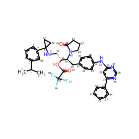 CC(C)c1cccc(C2(NC[C@@H](OC(=O)C(F)(F)F)[C@H](Cc3ccc(Nc4cc(-c5ccccc5)ncn4)cc3)N3CCCC3=O)CC2)c1